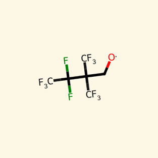 [O]CC(C(F)(F)F)(C(F)(F)F)C(F)(F)C(F)(F)F